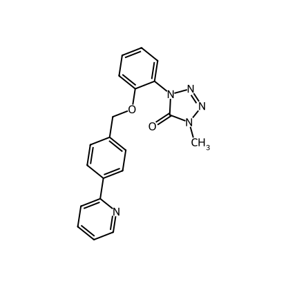 Cn1nnn(-c2ccccc2OCc2ccc(-c3ccccn3)cc2)c1=O